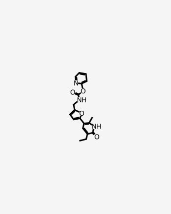 CCc1cc(-c2ccc(CNC(=O)Oc3ccccn3)o2)c(C)[nH]c1=O